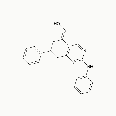 O/N=C1\CC(c2ccccc2)Cc2nc(Nc3ccccc3)ncc21